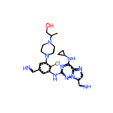 CC(CO)N1CCN(c2cc(C=N)cc(Nc3nc(NC4CC4)c4ncc(C=N)n4n3)c2Cl)CC1